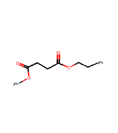 CC(C)CCOC(=O)CCC(=O)OC(C)C